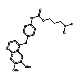 CCN(CC)CCCOC(=O)Nc1ccc(Oc2ccnc3cc(OC)c(OC)cc23)cc1